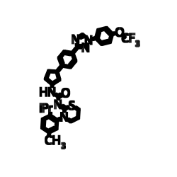 Cc1ccc(C(C)C)c(N2CCCS/C2=N\C(=O)NC2CCC(c3ccc(-c4ncn(-c5ccc(OC(F)(F)F)cc5)n4)cc3)C2)c1